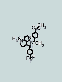 COC(=O)c1ccc([C@H](C)Nc2nccc3c2C(Cc2ccc(C(F)(F)F)cc2)=CCCN3C)cc1